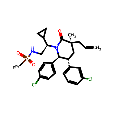 C=CC[C@@]1(C)C[C@H](c2cccc(Cl)c2)[C@@H](c2ccc(Cl)cc2)N([C@@H](CNS(=O)(=O)CCC)C2CC2)C1=O